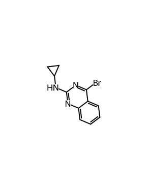 Brc1nc(NC2CC2)nc2ccccc12